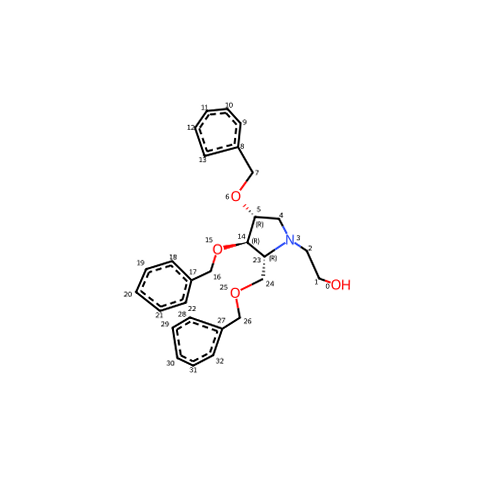 OCCN1C[C@@H](OCc2ccccc2)[C@H](OCc2ccccc2)[C@H]1COCc1ccccc1